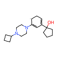 OC1(C2=CC[CH]C(N3CCN(C4CCC4)CC3)=C2)CCCC1